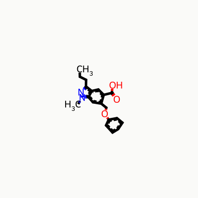 CCCc1nn(C)c2cc(COc3ccccc3)c(C(=O)O)cc12